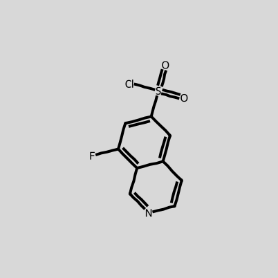 O=S(=O)(Cl)c1cc(F)c2cnccc2c1